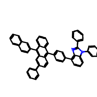 c1ccc(-c2ccc3c(-c4ccc(-c5cccc6c5nc(-c5ccccc5)n6-c5ccccc5)cc4)c4ccccc4c(-c4ccc5ccccc5c4)c3c2)cc1